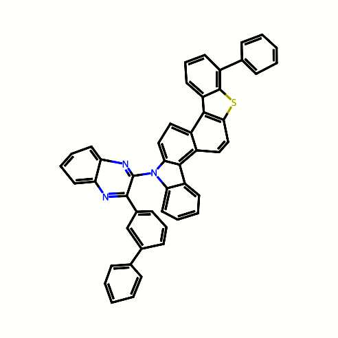 c1ccc(-c2cccc(-c3nc4ccccc4nc3-n3c4ccccc4c4c5ccc6sc7c(-c8ccccc8)cccc7c6c5ccc43)c2)cc1